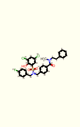 CN(CCc1ccccc1)C(=O)c1ccc(CN(Cc2ccc(F)cc2)S(=O)(=O)c2cc(Cl)cc(Cl)c2O)cc1